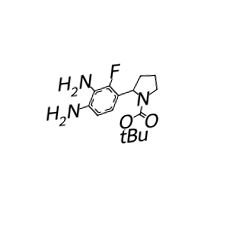 CC(C)(C)OC(=O)N1CCCC1c1ccc(N)c(N)c1F